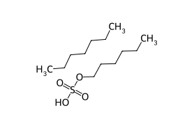 CCCCCCC.CCCCCCOS(=O)(=O)O